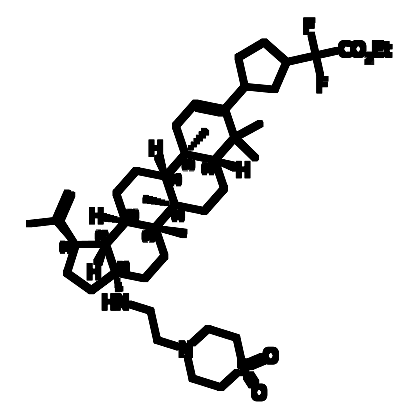 C=C(C)[C@@H]1CC[C@]2(NCCN3CCS(=O)(=O)CC3)CC[C@]3(C)[C@H](CC[C@@H]4[C@@]5(C)CC=C(C6CCC(C(F)(F)C(=O)OCC)C6)C(C)(C)[C@@H]5CC[C@]43C)[C@@H]12